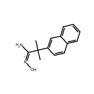 CC(C)(/C(N)=N\O)c1ccc2ccccc2c1